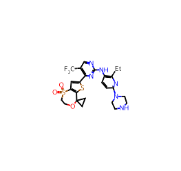 CCc1nc(N2CCNCC2)ccc1Nc1ncc(C(F)(F)F)c(-c2cc3c(s2)C2(CC2)OCCS3(=O)=O)n1